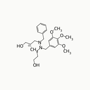 COc1cc(CN(CCCO)N(Cc2ccccc2)C[C@H](C)CO)cc(OC)c1OC